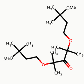 COC(C)(C)CCOC(C)(C)C(=O)C(C)(C)OCCC(C)(C)OC